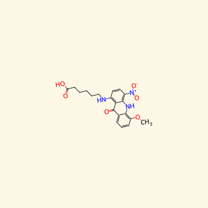 COc1cccc2c(=O)c3c(NCCCCCC(=O)O)ccc([N+](=O)[O-])c3[nH]c12